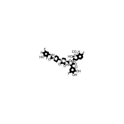 O=C(O)c1c(F)ccc2c1OB(O)C(NC(=O)C(NC(=O)N1CCN(C3CCN(C(=O)Nc4cc(F)c(F)c(O)c4F)CC3)C(=O)C1=O)c1cc(F)c(O)c(O)c1Cl)C2